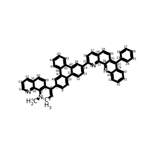 C=Nc1c(/C(=C\C)c2ccc3c4ccc(-c5ccc6ccc7c(-c8ccccc8)c8ccccc8nc7c6n5)cc4c4ccccc4c3c2)ccc2cccnc12